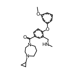 CNCc1cc(C(=O)N2CCCN(C3CC3)CC2)ccc1Oc1cccc(OC)c1